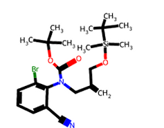 C=C(CO[Si](C)(C)C(C)(C)C)CN(C(=O)OC(C)(C)C)c1c(Br)cccc1C#N